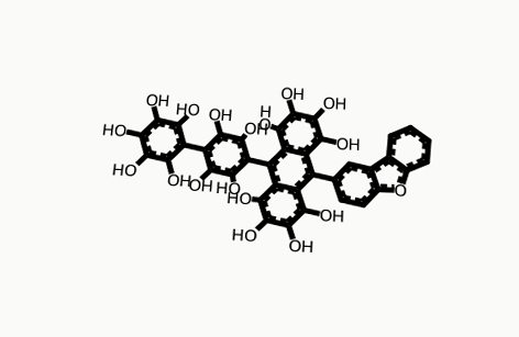 Oc1c(O)c(O)c(-c2c(O)c(O)c(-c3c4c(O)c(O)c(O)c(O)c4c(-c4ccc5oc6ccccc6c5c4)c4c(O)c(O)c(O)c(O)c34)c(O)c2O)c(O)c1O